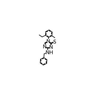 CCc1cccc(C)c1-n1cnc(NCc2ccccc2)nc1=S